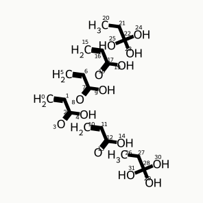 C=CC(=O)O.C=CC(=O)O.C=CC(=O)O.C=CC(=O)O.CCC(O)(O)O.CCC(O)(O)O